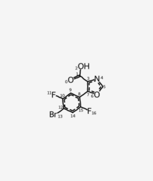 O=C(O)c1ncoc1-c1cc(F)c(Br)cc1F